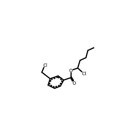 CCCCC(Cl)OC(=O)c1cccc(CCl)c1